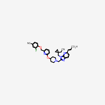 N#CCC1(Cn2c(CN3CCC(Oc4cccc(COc5ccc(C#N)cc5F)n4)CC3)nc3ccc(/C=C/C(=O)O)nc32)CC1